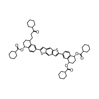 O=C(CCC1CCC(OC(=O)C2CCCCC2)c2ccc(-c3cc4cc5sc(-c6ccc7c(c6)C(OC(=O)C6CCCCC6)CCC7OC(=O)C6CCCCC6)cc5cc4s3)cc21)C1CCCCC1